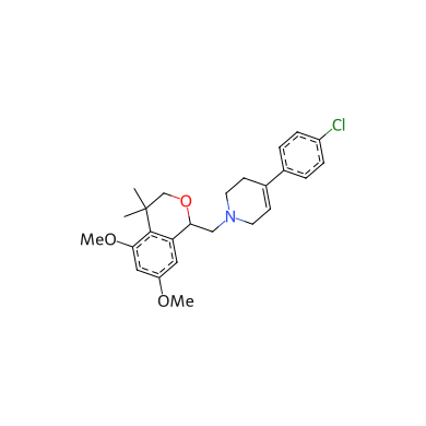 COc1cc(OC)c2c(c1)C(CN1CC=C(c3ccc(Cl)cc3)CC1)OCC2(C)C